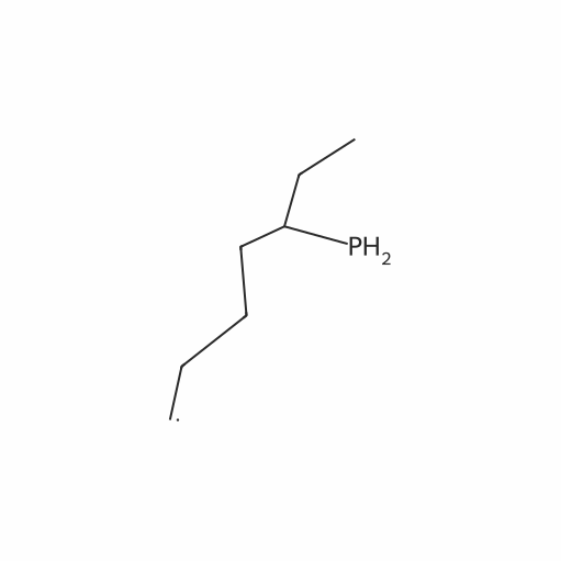 [CH2]CCCC(P)CC